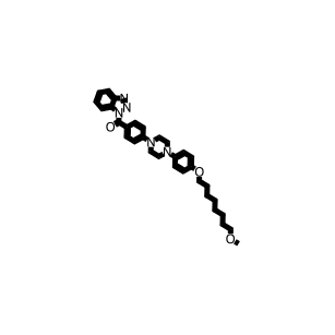 COCCCCCCCCOc1ccc(N2CCN(c3ccc(C(=O)n4nnc5ccccc54)cc3)CC2)cc1